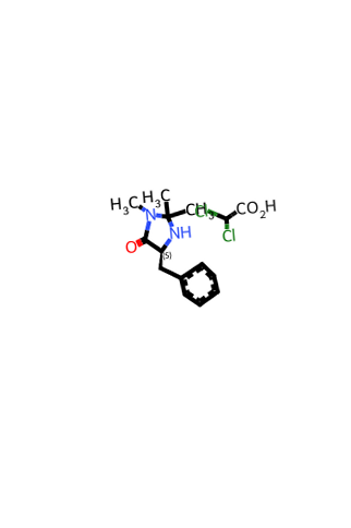 CN1C(=O)[C@H](Cc2ccccc2)NC1(C)C.O=C(O)C(Cl)Cl